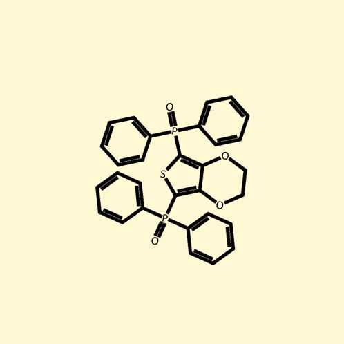 O=P(c1ccccc1)(c1ccccc1)c1sc(P(=O)(c2ccccc2)c2ccccc2)c2c1OCCO2